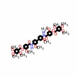 COc1cc(-c2ccc(NC(=O)c3ccc(OC(=O)c4cc(OC)c(OC)cc4OC)c(OC)c3)c(OC)c2)ccc1NC(=O)c1ccc(OC(=O)c2cc(OC)c(OC)cc2OC)c(OC)c1